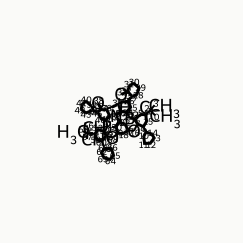 CC(C)(C)c1cc2c(c(-c3ccccc3)c1)Oc1cc3c4c5c1B2c1cc2c6ccccc6oc2c2c6c7oc8ccccc8c7cc(c6n-5c12)B4c1cc(C(C)(C)C)cc(-c2ccccc2)c1O3